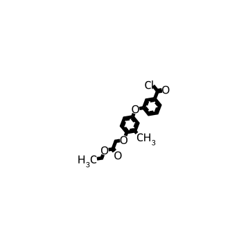 CCOC(=O)COc1ccc(Oc2cccc(C(=O)Cl)c2)cc1C